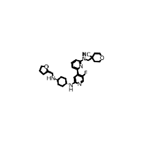 N#CC1(CNc2cccc(-c3cc(N[C@H]4CC[C@H](NCC5CCCO5)CC4)ncc3F)n2)CCOCC1